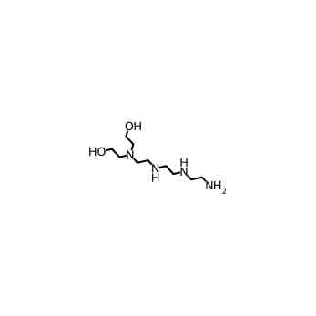 NCCNCCNCCN(CCO)CCO